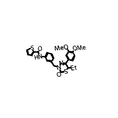 CCC1SC(=O)N(Cc2cccc(NC(=O)c3cccs3)c2)N=C1c1ccc(OC)c(OC)c1